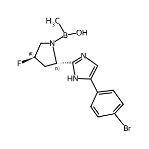 CB(O)N1C[C@H](F)C[C@H]1c1ncc(-c2ccc(Br)cc2)[nH]1